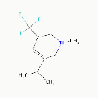 CC(C)C1=CC(C(F)(F)F)CN(C)C1